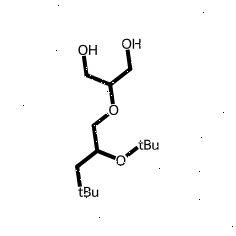 CC(C)(C)CC(COC(CO)CO)OC(C)(C)C